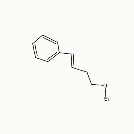 C[CH]OCCC=Cc1ccccc1